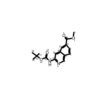 COC(=O)c1ccc2cnc(NC(=O)OC(C)(C)C)cc2c1